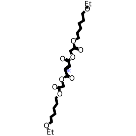 CCOCCCCCCOC(=O)COC(=O)/C=C/C(=O)OCC(=O)OCCCCCCOCC